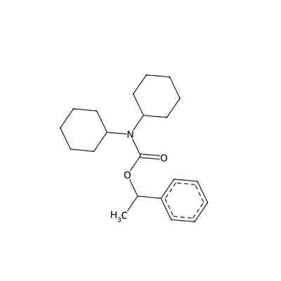 CC(OC(=O)N(C1CCCCC1)C1CCCCC1)c1ccccc1